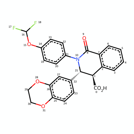 O=C(O)[C@@H]1c2ccccc2C(=O)N(c2ccc(OC(F)F)cc2)[C@H]1c1ccc2c(c1)OCCO2